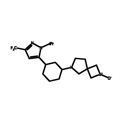 CC(C)n1nc(C(F)(F)F)cc1C1CCCC(N2CCC3(C2)C[S+]([O-])C3)C1